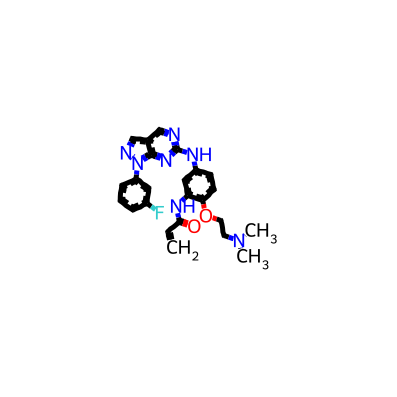 C=CC(=O)Nc1cc(Nc2ncc3cnn(-c4cccc(F)c4)c3n2)ccc1OCCN(C)C